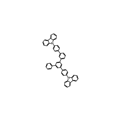 c1ccc(-c2cc(-c3ccc(-n4c5ccccc5c5ccccc54)cc3)cc(-c3cccc(-c4ccc(-n5c6ccccc6c6ccccc65)cc4)c3)c2)cc1